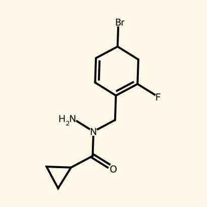 NN(CC1=C(F)CC(Br)C=C1)C(=O)C1CC1